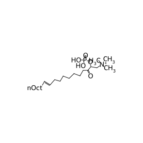 CCCCCCCCC=CCCCCCCCC(=O)C(C[N+](C)(C)C)OP(=O)(O)O